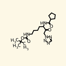 CC(C)(C)OC(=O)NCCCCC(NC(=O)C1CCCC1)C(=O)Cn1ncnn1